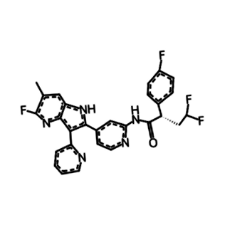 Cc1cc2[nH]c(-c3ccnc(NC(=O)[C@@H](CC(F)F)c4ccc(F)cc4)c3)c(-c3ccccn3)c2nc1F